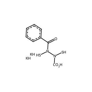 O=C(O)N(S)N(S)C(=O)c1ccccc1.[KH].[KH]